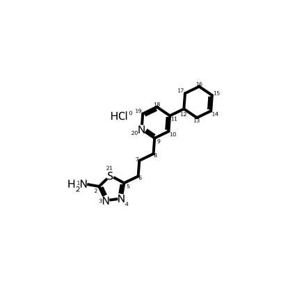 Cl.Nc1nnc(CCCc2cc(C3CC=CCC3)ccn2)s1